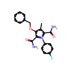 Cc1c(OCc2ccccc2)c(C(N)=O)n(-c2ccc(F)cc2)c1C(N)=O